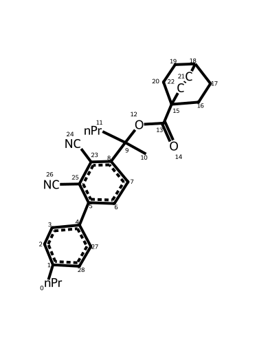 CCCc1ccc(-c2ccc(C(C)(CCC)OC(=O)C34CCC(CC3)CC4)c(C#N)c2C#N)cc1